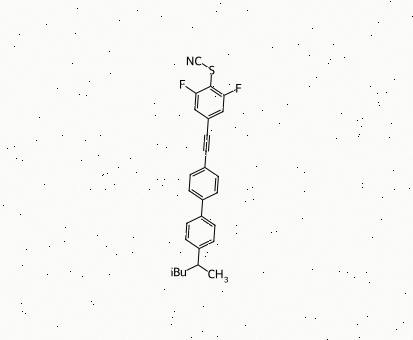 CCC(C)C(C)c1ccc(-c2ccc(C#Cc3cc(F)c(SC#N)c(F)c3)cc2)cc1